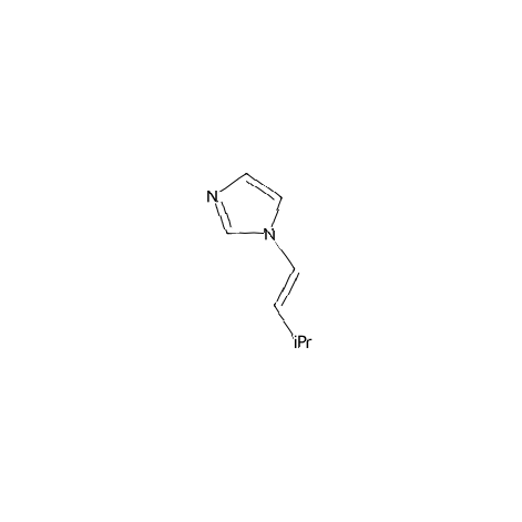 CC(C)C=Cn1ccnc1